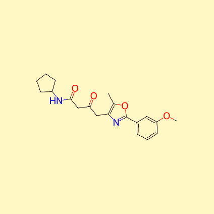 COc1cccc(-c2nc(CC(=O)CC(=O)NC3CCCC3)c(C)o2)c1